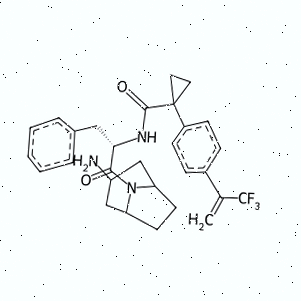 C=C(c1ccc(C2(C(=O)N[C@@H](Cc3ccccc3)C(=O)N3C4CCC3CC(N)C4)CC2)cc1)C(F)(F)F